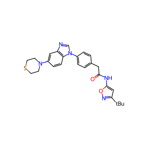 CC(C)(C)c1cc(NC(=O)Cc2ccc(-n3cnc4cc(N5CCSCC5)ccc43)cc2)on1